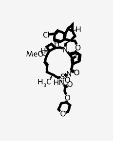 CO[C@H]1/C=C/C[C@H](C)C[S@@](=O)(NC(=O)COC2CCOCC2)=NC(=O)c2ccc3c(c2F)N(C[C@@H]2CC[C@H]21)C[C@]1(CO3)C[C@@H]2CC2c2cc(Cl)ccc21